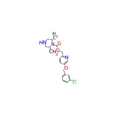 CC1CNCC(C)N1C(=O)OCc1ccc(OCc2cccc(Cl)c2)cn1